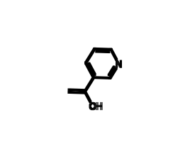 C=C(O)c1cccnc1